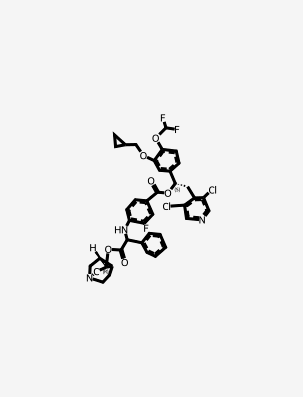 O=C(O[C@@H](Cc1c(Cl)cncc1Cl)c1ccc(OC(F)F)c(OCC2CC2)c1)c1ccc(NC(C(=O)O[C@H]2CN3CCC2CC3)c2ccccc2)c(F)c1